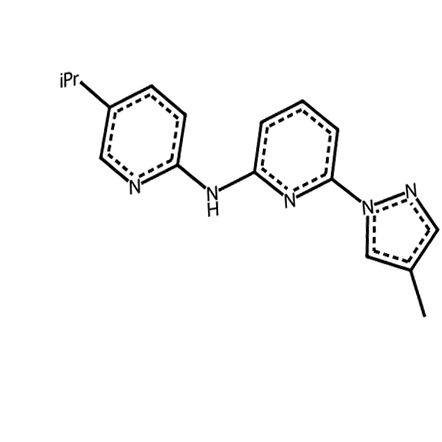 Cc1cnn(-c2cccc(Nc3ccc(C(C)C)cn3)n2)c1